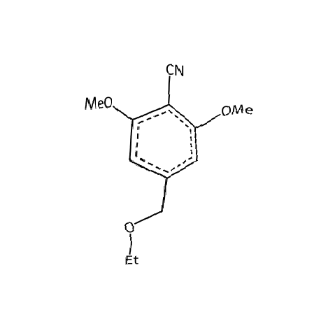 CCOCc1cc(OC)c(C#N)c(OC)c1